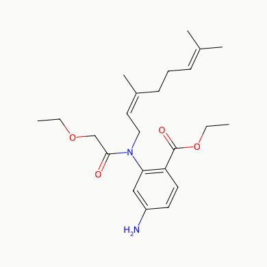 CCOCC(=O)N(CC=C(C)CCC=C(C)C)c1cc(N)ccc1C(=O)OCC